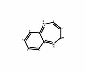 C1=CN=c2ccccc2=NC1